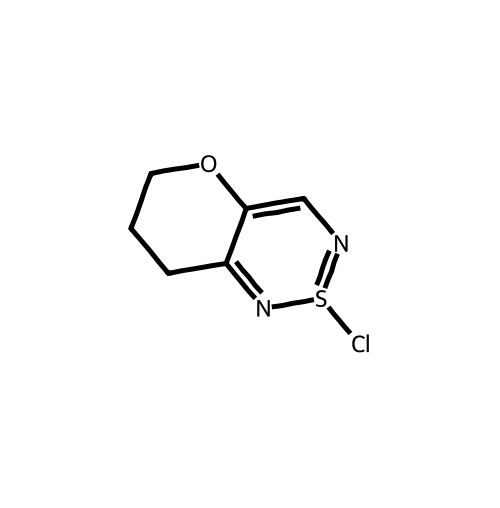 ClS1=NC=C2OCCCC2=N1